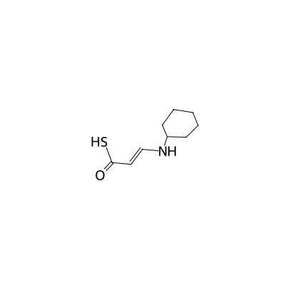 O=C(S)/C=C/NC1CCCCC1